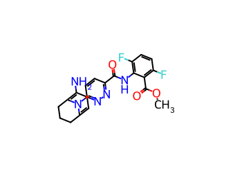 COC(=O)c1c(F)ccc(F)c1NC(=O)c1ccc(N2C3=CCC(N)=C2CCC3)nn1